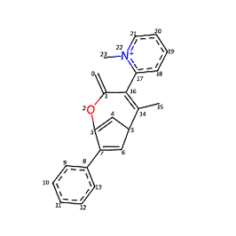 C=C1OC2=CC(C=C2c2ccccc2)C(C)=C1c1cccc[n+]1C